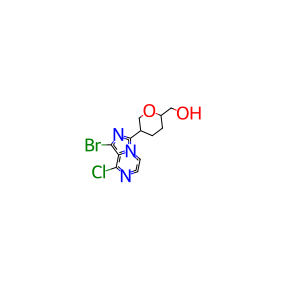 OCC1CCC(c2nc(Br)c3c(Cl)nccn23)CO1